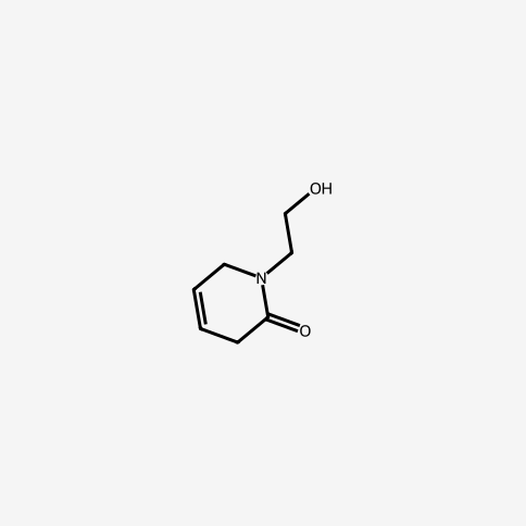 O=C1CC=CCN1CCO